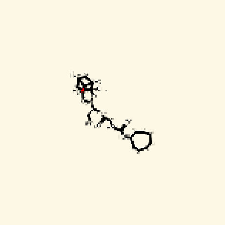 CC(C)C[C@H](NC(=O)CNC(=O)BC1CCCCCCC1)B1OC2C[C@H]3C[C@H](C3(C)C)[C@@]2(C)O1